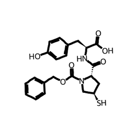 O=C(O)[C@H](Cc1ccc(O)cc1)NC(=O)[C@@H]1C[C@@H](S)CN1C(=O)OCc1ccccc1